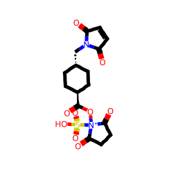 O=C1C=CC(=O)N1C[C@H]1CC[C@H](C(=O)O[N+]2(S(=O)(=O)O)C(=O)CCC2=O)CC1